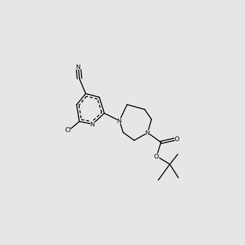 CC(C)(C)OC(=O)N1CCCN(c2cc(C#N)cc(Cl)n2)CC1